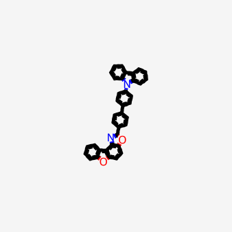 c1ccc2c(c1)oc1ccc3oc(-c4ccc(-c5ccc(-n6c7ccccc7c7ccccc76)cc5)cc4)nc3c12